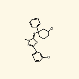 Cn1nc(-c2cccc(Cl)c2)sc1=NC1(c2ccccc2)CCCC(Cl)C1